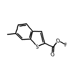 Cc1ccc2cc(C(=O)OF)sc2c1